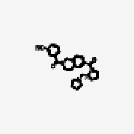 N#Cc1cccc(C(=O)N2CCc3cc(C(=O)N4CCC[C@H]4CN4CCCC4)ccc3C2)c1